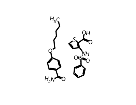 CCCCCCOc1ccc(C(N)=O)cc1.O=C(O)c1sccc1NS(=O)(=O)c1ccccc1